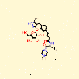 CC(C)c1[nH]nc(O[C@@H]2O[C@H](CO)[C@@H](O)[C@H](O)[C@H]2O)c1Cc1ccc(CCCC(=O)N[C@@H](C)C(=O)N2CCN(C)CC2)cc1